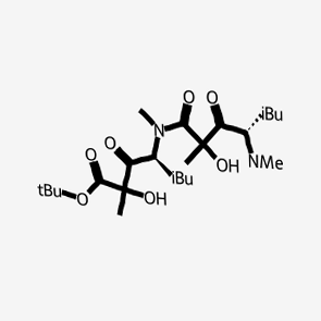 CCC(C)[C@H](NC)C(=O)C(C)(O)C(=O)N(C)[C@H](C(=O)C(C)(O)C(=O)OC(C)(C)C)C(C)CC